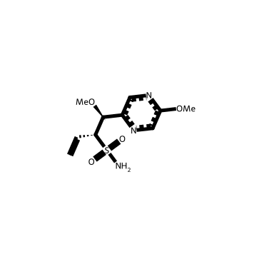 C=C[C@H]([C@@H](OC)c1cnc(OC)cn1)S(N)(=O)=O